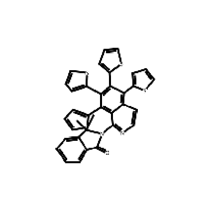 CC1(C)c2ccccc2C(=O)N1c1nccc2c(-c3cccs3)c(-c3cccs3)c(-c3cccs3)c(-c3cccs3)c12